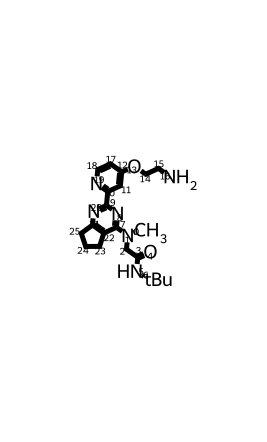 CN(CC(=O)NC(C)(C)C)c1nc(-c2cc(OCCN)ccn2)nc2c1CCC2